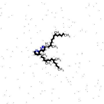 CCCCCC(C)CCCCCC(C)C[SiH2]c1ccc(-c2ncccc2[SiH2]CCCC(C)CCCC(C)CCCCC)nn1